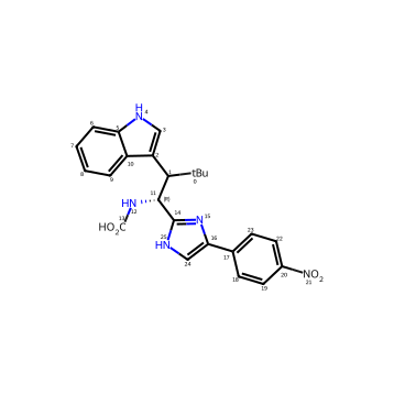 CC(C)(C)C(c1c[nH]c2ccccc12)[C@@H](NC(=O)O)c1nc(-c2ccc([N+](=O)[O-])cc2)c[nH]1